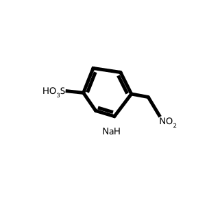 O=[N+]([O-])Cc1ccc(S(=O)(=O)O)cc1.[NaH]